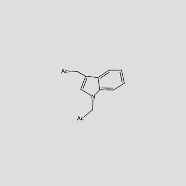 CC(=O)Cc1cn(CC(C)=O)c2ccccc12